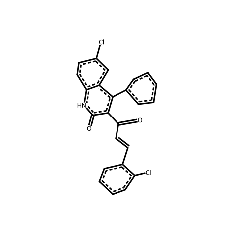 O=C(C=Cc1ccccc1Cl)c1c(-c2ccccc2)c2cc(Cl)ccc2[nH]c1=O